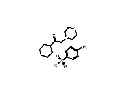 Cc1ccc(S(=O)(=O)[O-])cc1.O=C(C[S+]1CCSCC1)C1CCCCC1